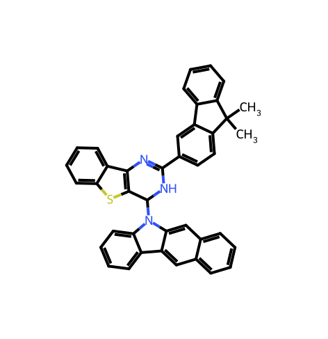 CC1(C)c2ccccc2-c2cc(C3=Nc4c(sc5ccccc45)C(n4c5ccccc5c5cc6ccccc6cc54)N3)ccc21